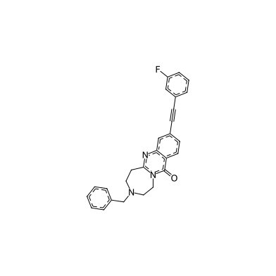 O=c1c2ccc(C#Cc3cccc(F)c3)cc2nc2n1CCN(Cc1ccccc1)CC2